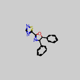 c1ccc(C2N=C(c3ncns3)OC2c2ccccc2)cc1